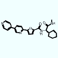 CNC(=O)[C@@H](NC(=O)c1ccc(-c2ccc(-c3ccncc3)cn2)o1)C1CCCCC1